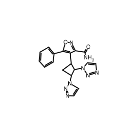 NC(=O)c1noc(-c2ccccc2)c1C1CC(n2ccnn2)C1n1ccnn1